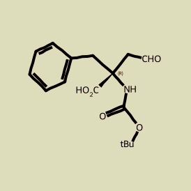 CC(C)(C)OC(=O)N[C@@](CC=O)(Cc1ccccc1)C(=O)O